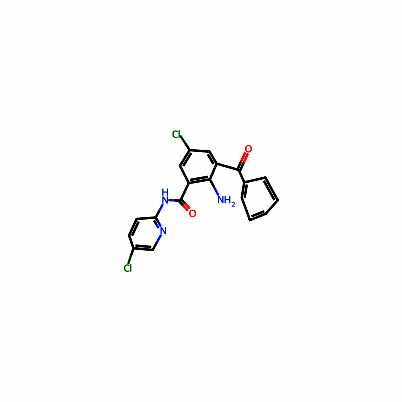 Nc1c(C(=O)Nc2ccc(Cl)cn2)cc(Cl)cc1C(=O)c1ccccc1